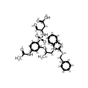 CC(=O)Nc1ccc(S(=O)(=O)NC(C=O)CC(=O)O)c(OC(C)Cn2c(SCc3ccccc3)nc3ccccc32)c1